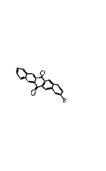 O=C1c2cc3ccccc3cc2C(=O)c2cc3cc(F)ccc3cc21